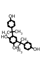 CC(C)(c1ccc(O)cc1)c1cc(C(C)(C)c2ccc(O)cc2)c(O)cc1O